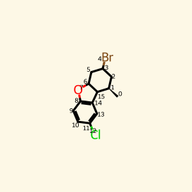 C[C@@H]1CC(Br)CC2Oc3ccc(Cl)cc3C21